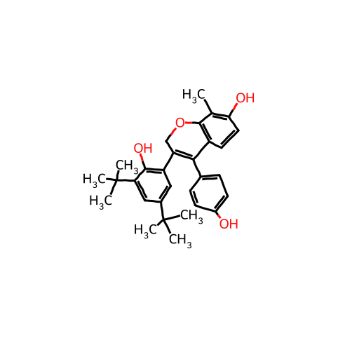 Cc1c(O)ccc2c1OCC(c1cc(C(C)(C)C)cc(C(C)(C)C)c1O)=C2c1ccc(O)cc1